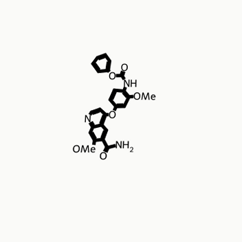 COc1cc(Oc2ccnc3cc(OC)c(C(N)=O)cc23)ccc1NC(=O)Oc1ccccc1